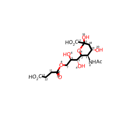 CC(=O)N[C@H]1C([C@H](O)[C@H](O)COC(=O)CCC(=O)O)OC(O)(C(=O)O)C[C@@H]1O